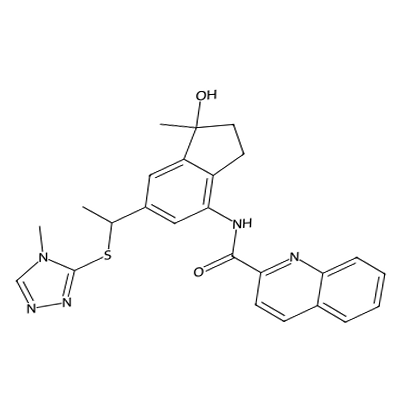 CC(Sc1nncn1C)c1cc(NC(=O)c2ccc3ccccc3n2)c2c(c1)C(C)(O)CC2